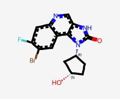 O=c1[nH]c2cnc3cc(F)c(Br)cc3c2n1[C@@H]1CC[C@H](O)C1